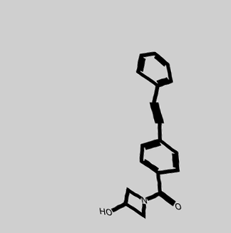 O=C(c1ccc(C#Cc2ccccc2)cc1)N1CC(O)C1